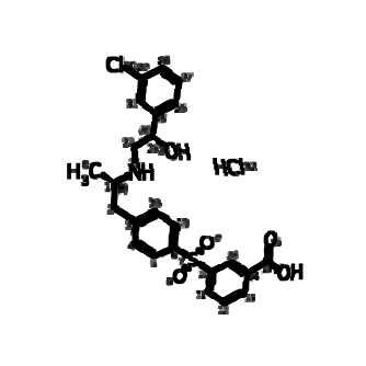 C[C@H](Cc1ccc(S(=O)(=O)c2cccc(C(=O)O)c2)cc1)NC[C@H](O)c1cccc(Cl)c1.Cl